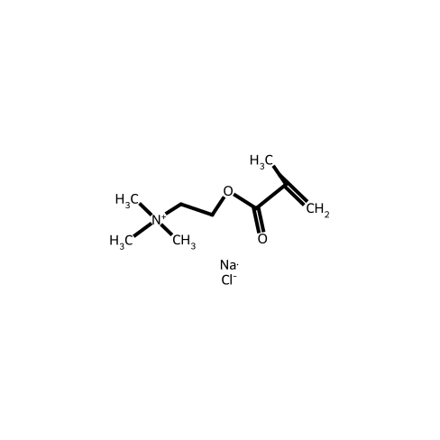 C=C(C)C(=O)OCC[N+](C)(C)C.[Cl-].[Na]